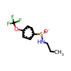 CCCN[S+]([O-])c1ccc(OC(F)(F)F)cc1